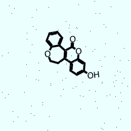 O=c1oc2cc(O)ccc2c2c1-c1ccccc1OCC2